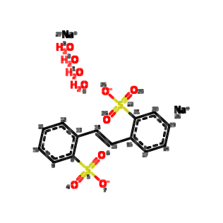 O.O.O.O.O=S(=O)([O-])c1ccccc1C=Cc1ccccc1S(=O)(=O)[O-].[Na+].[Na+]